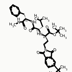 CNC(=O)[C@H](Cc1ccccc1)NC(=O)[C@H](CC(C)C)N[C@H](CCN1C(=O)c2ccc(C(C)(C)C)cc2C1=O)C(=O)OC(C)(C)C